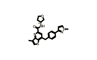 Cc1csc2c(Cc3ccc(-c4ccn(C)n4)cc3)cc(C(=O)N[C@H]3CCOC3)nc12